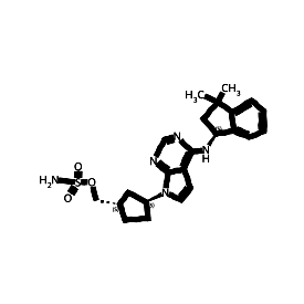 CC1(C)C[C@H](Nc2ncnc3c2ccn3[C@H]2CC[C@H](COS(N)(=O)=O)C2)c2ccccc21